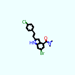 CN(C)C(=O)c1cc(Br)cc2[nH]c(C=Cc3ccc(Cl)cc3)cc12